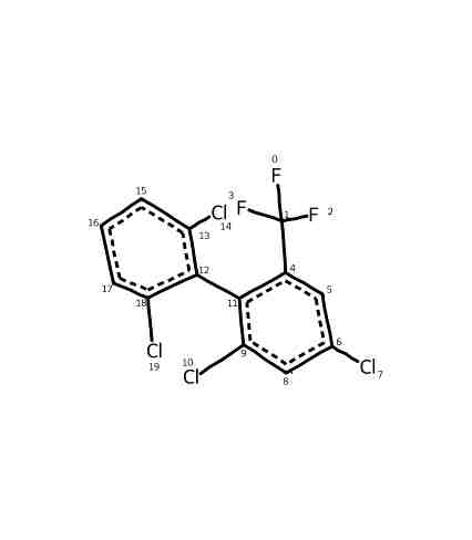 FC(F)(F)c1cc(Cl)[c]c(Cl)c1-c1c(Cl)cccc1Cl